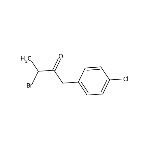 CC(Br)C(=O)Cc1ccc(Cl)cc1